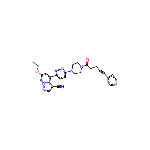 CCOc1cc(-c2ccc(N3CCN(C(=O)CCC#Cc4ccccc4)CC3)nc2)c2c(C#N)cnn2c1